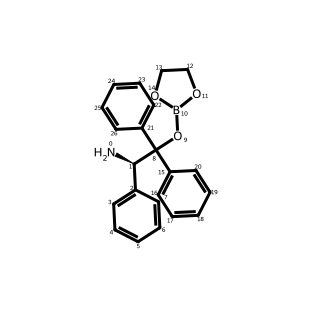 N[C@H](c1ccccc1)C(OB1OCCO1)(c1ccccc1)c1ccccc1